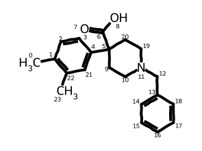 Cc1ccc(C2(C(=O)O)CCN(Cc3ccccc3)CC2)cc1C